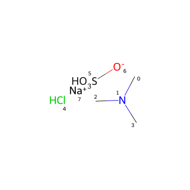 CN(C)C.Cl.O=S(=O)([O-])O.[Na+]